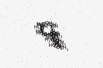 CC[C@@H](O[C@H]1C[C@@](C)(O)[C@H](O[C@H]2C[C@H](O)[C@H](OC(=O)[C@@H](C)[C@H](c3ccc4c(c3)C(=O)C=C(C)C4=O)[C@H]3CC[C@H](O)[C@H](C)O3)[C@H](C)O2)[C@H](C)O1)[C@H](C)[C@H](O)[C@@H](C)[C@H](O)[C@H](C)[C@H]1OC(=O)/C=C/CC(O)CC(O)CCCC(O)CCC(C)C(O)C(=O)[C@]2(O)C[C@H](O)C[C@H](C[C@H](O)C[C@@H](O)C[C@@H](O)CCCC(O)/C=C/[C@@H]1C)O2